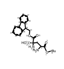 CC(C)(C)OC(=O)C(N)C[C@@](N)(C(=O)O)C(=O)OCC1c2ccccc2-c2ccccc21